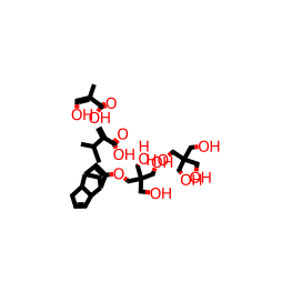 C=C(C(=O)O)C(C)C.CC(=CO)C(=O)O.OCC(CO)(CO)CO.OCC(CO)(CO)COC1=CC2CC1C1C=CCC21